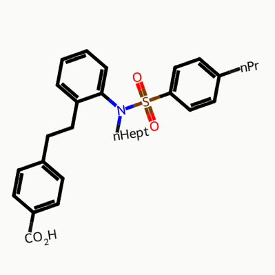 CCCCCCCN(c1ccccc1CCc1ccc(C(=O)O)cc1)S(=O)(=O)c1ccc(CCC)cc1